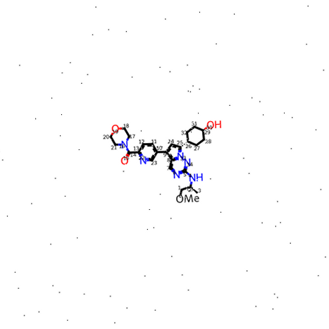 COC[C@H](C)Nc1ncc2c(-c3ccc(C(=O)N4CCOCC4)nc3)cc([C@H]3CC[C@H](O)CC3)n2n1